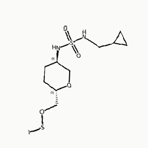 O=S(=O)(NCC1CC1)N[C@@H]1CC[C@@H](COSI)OC1